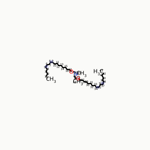 CCCCC/C=C\C/C=C\CCCCCCCCOCN(C)CC(C)OCCCCCCCC/C=C\C/C=C\CCCCC